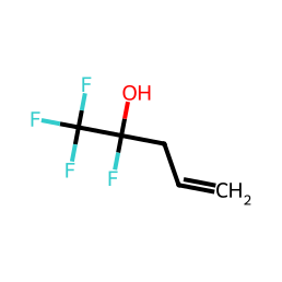 C=CCC(O)(F)C(F)(F)F